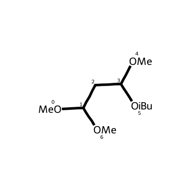 COC(CC(OC)OCC(C)C)OC